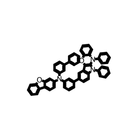 c1ccc(-c2cccc(N(c3cccc(-c4ccc5c(c4)c4c(n5-c5ccccc5)N(c5ccccc5)c5ccccc5O4)c3)c3ccc4c(c3)oc3ccccc34)c2)cc1